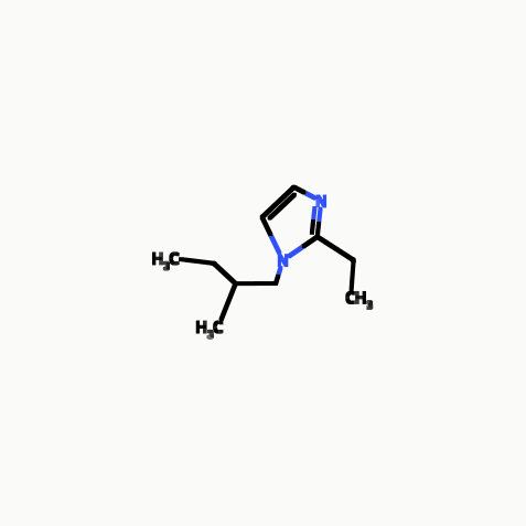 CCc1nccn1CC(C)CC